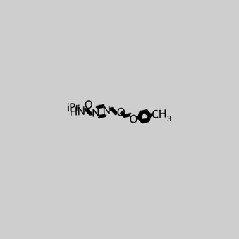 Cc1ccc(OCCOCCN2CCN(CC(=O)NC(C)C)CC2)cc1